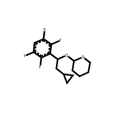 Fc1cc(F)c(F)c(C(CC2CC2)OC2CCCCO2)c1F